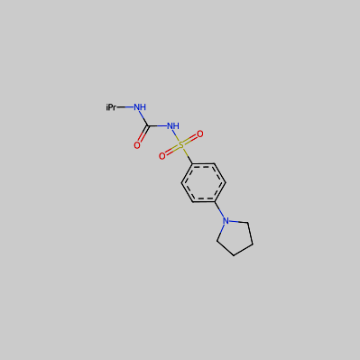 CC(C)NC(=O)NS(=O)(=O)c1ccc(N2CCCC2)cc1